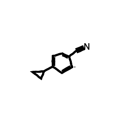 N#Cc1[c]cc(C2CC2)cc1